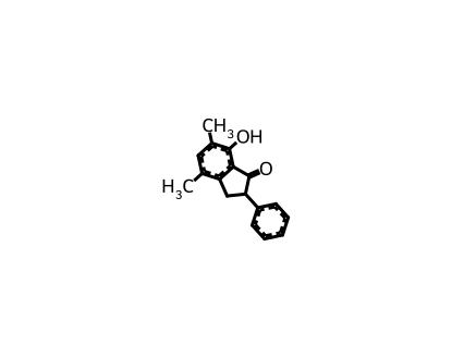 Cc1cc(C)c2c(c1O)C(=O)C(c1ccccc1)C2